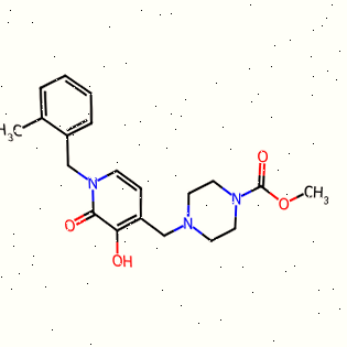 COC(=O)N1CCN(Cc2ccn(Cc3ccccc3C)c(=O)c2O)CC1